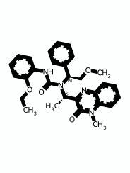 CCOc1ccccc1NC(=O)N([C@H](COC)c1ccccc1)[C@@H](C)c1nc2ccccc2n(C)c1=O